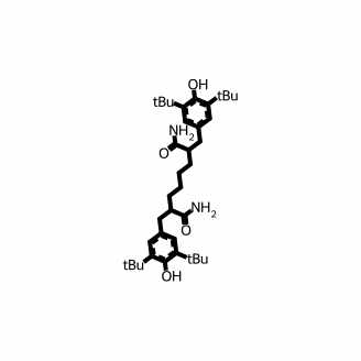 CC(C)(C)c1cc(CC(CCCCC(Cc2cc(C(C)(C)C)c(O)c(C(C)(C)C)c2)C(N)=O)C(N)=O)cc(C(C)(C)C)c1O